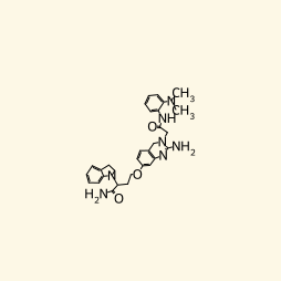 CN(C)c1ccccc1NC(=O)CN1Cc2ccc(OCCC(C(N)=O)N3CCc4ccccc43)cc2N=C1N